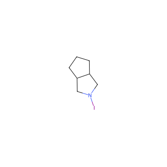 IN1CC2CCCC2C1